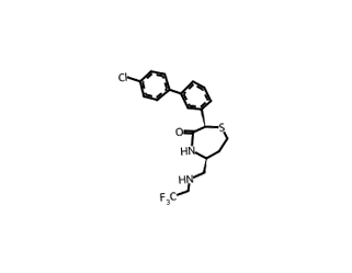 O=C1N[C@H](CNCC(F)(F)F)CCS[C@@H]1c1cccc(-c2ccc(Cl)cc2)c1